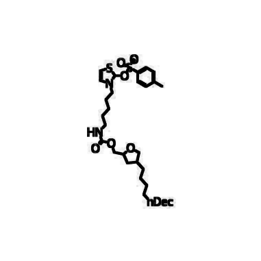 CCCCCCCCCCCCCCC1COC(COC(=O)NCCCCCN2C=CSC2OS(=O)(=O)c2ccc(C)cc2)C1